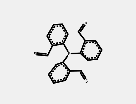 S=Cc1ccccc1P(c1ccccc1C=S)c1ccccc1C=S